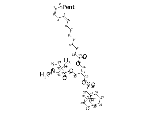 CCCCC/C=C\C/C=C\CCCCCCCC(=O)OCC(COC(=O)CC12CC3CC(CC(C3)C1)C2)COC(=O)C1(C)CCN(C)C1